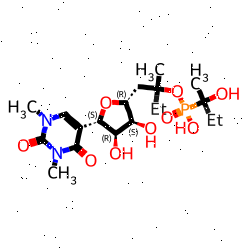 CCC(C)(C[C@H]1O[C@@H](c2cn(C)c(=O)n(C)c2=O)[C@H](O)[C@@H]1O)OP(=O)(O)C(C)(O)CC